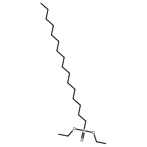 CCCCCCCCCCCCCCCCP(=O)(OCC)OCC